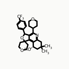 CC1(C)Cc2nc(C3CCOCC3)c3c(c2[C@@H](O)C1)C1(CCOCC1)OC3c1ccc(C(F)(F)F)cc1